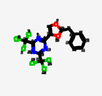 ClC(Cl)(Cl)c1nc(C2=COC(Cc3ccccc3)O2)nc(C(Cl)(Cl)Cl)n1